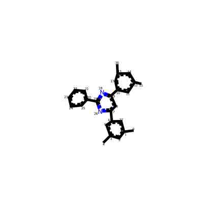 Cc1cc(C)cc(-c2cc(-c3cc(C)cc(C)c3)nc(-c3ccccc3)n2)c1